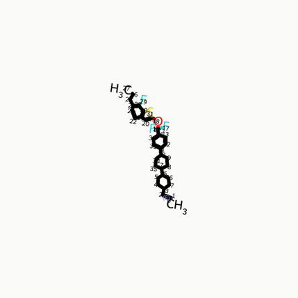 C/C=C/C1CCC(C2CCC(c3ccc(C(F)(F)Oc4cc5ccc(CCC)c(F)c5s4)cc3)CC2)CC1